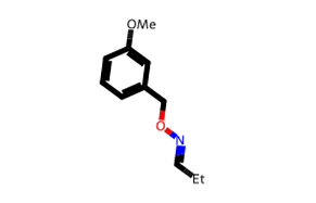 CC/C=N/OCc1cccc(OC)c1